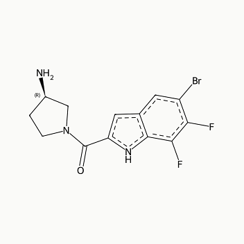 N[C@@H]1CCN(C(=O)c2cc3cc(Br)c(F)c(F)c3[nH]2)C1